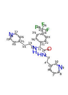 O=C(NCCc1cccnc1)C(NCCc1ccncc1)c1ccc(C(F)(F)F)cc1